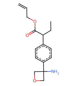 C=CCOC(=O)C(CC)c1ccc(C2(N)COC2)cc1